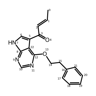 C/C=C/C(=O)c1c[nH]c2ncnc(OCCc3ccccc3)c12